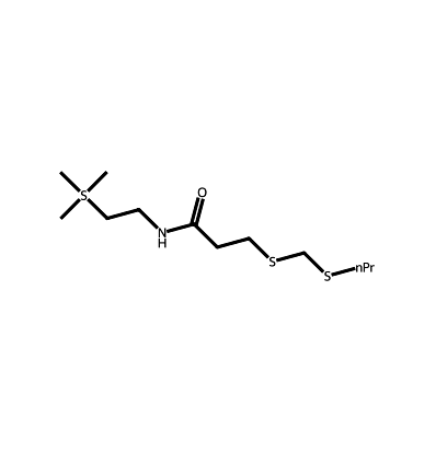 CCCSCSCCC(=O)NCCS(C)(C)C